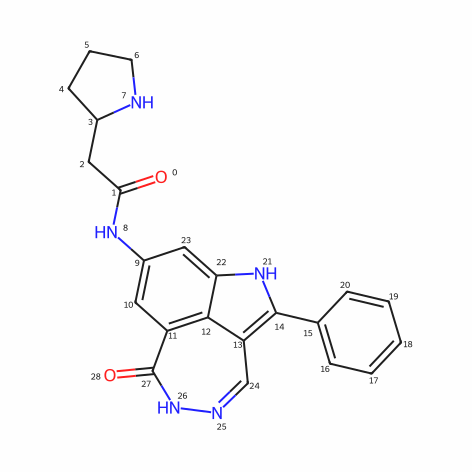 O=C(CC1CCCN1)Nc1cc2c3c(c(-c4ccccc4)[nH]c3c1)C=NNC2=O